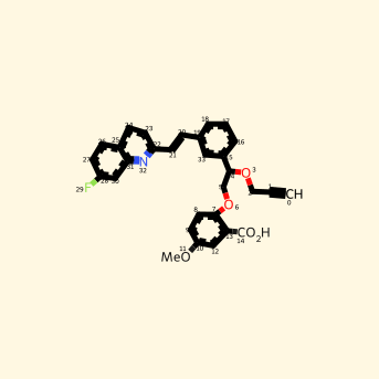 C#CCOC(COc1ccc(OC)cc1C(=O)O)c1cccc(/C=C/c2ccc3ccc(F)cc3n2)c1